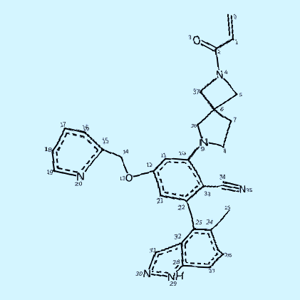 C=CC(=O)N1CC2(CCN(c3cc(OCc4ccccn4)cc(-c4c(C)ccc5[nH]ncc45)c3C#N)C2)C1